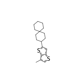 Cc1csc2cc(C3CCC4(CCCCC4)CC3)sc12